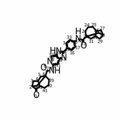 O=C1C2CC3CC(C(=O)Nc4cc5nc(-c6ccc(NC(=O)C78CCCC9CC(CC9C7)C8)cc6)[nH]c5cn4)(CCCC13)C2